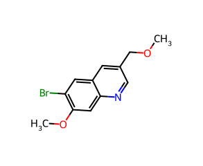 COCc1cnc2cc(OC)c(Br)cc2c1